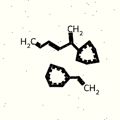 C=CC=CC(=C)c1ccccc1.C=Cc1ccccc1